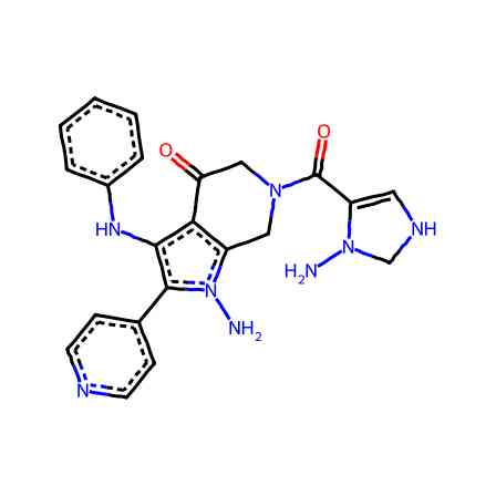 NN1CNC=C1C(=O)N1CC(=O)c2c(Nc3ccccc3)c(-c3ccncc3)n(N)c2C1